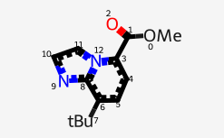 COC(=O)c1ccc(C(C)(C)C)c2nccn12